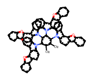 N#Cc1c(C#N)c(-n2c3ccccc3c3c4oc5ccccc5c4ccc32)c(-n2c3ccccc3c3c4oc5ccccc5c4ccc32)c(-n2c3ccccc3c3c4oc5ccccc5c4ccc32)c1-n1c2ccccc2c2c3oc4ccccc4c3ccc21